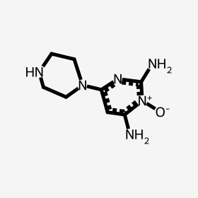 Nc1cc(N2CCNCC2)nc(N)[n+]1[O-]